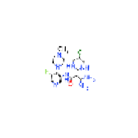 CN1CCN(c2c(F)cncc2NC(=O)C(C(N)N)C2NCC(Cl)CN2)CC1